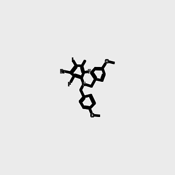 COc1ccc(CN(Cc2ccc(OC)cc2)c2c(F)c(C)c(I)c(Br)c2F)cc1